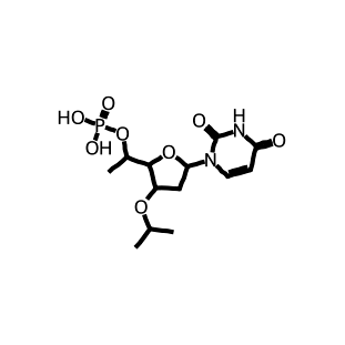 CC(C)OC1CC(n2ccc(=O)[nH]c2=O)OC1C(C)OP(=O)(O)O